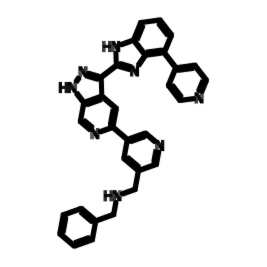 c1ccc(CNCc2cncc(-c3cc4c(-c5nc6c(-c7ccncc7)cccc6[nH]5)n[nH]c4cn3)c2)cc1